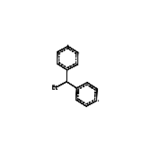 CCC(c1cc[c]cc1)c1cc[c]cc1